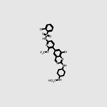 CCc1cc(-c2ccc(NS(=O)(=O)c3ccccc3Cl)nc2OC(F)(F)F)cc2cnc(NC3CCC(NC(=O)O)CC3)nc12